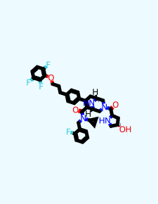 O=C(C1C[C@@H](O)CN1)N1C[C@H]2CC(c3ccc(CCCOc4c(F)ccc(F)c4F)cc3)=C(C(=O)N(Cc3ccccc3F)C3CC3)[C@@H](C1)N2